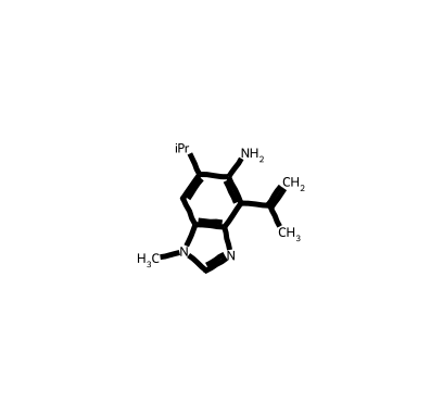 C=C(C)c1c(N)c(C(C)C)cc2c1ncn2C